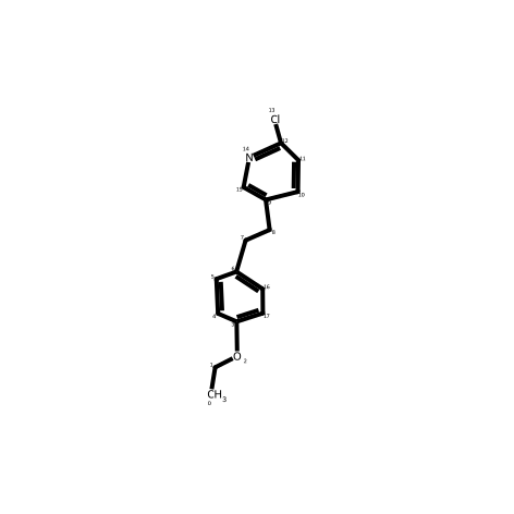 CCOc1ccc(CCc2ccc(Cl)nc2)cc1